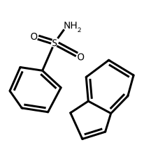 C1=Cc2ccccc2C1.NS(=O)(=O)c1ccccc1